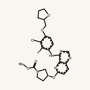 CC(C)(C)OC(=O)N1CC[C@H](Oc2ccc3ncnc(Nc4ccc(OCC5CCCO5)c(Cl)c4F)c3n2)C1